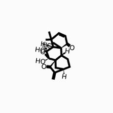 C=C1C(=O)[C@]23C[C@H]1CC[C@H]2[C@@]12CCO[C@@]3(O)[C@@H](O)[C@@H]1C(C)(C)C=CC2=O